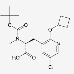 CN(C(=O)OC(C)(C)C)[C@@H](Cc1cc(Cl)cnc1OC1CCC1)C(=O)O